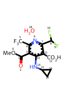 COC(=O)c1c(C(F)(F)F)nc(C(F)F)c(C(=O)O)c1NC1CC1.O